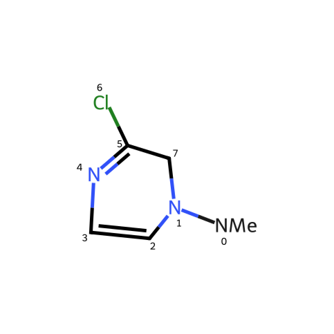 CNN1C=CN=C(Cl)C1